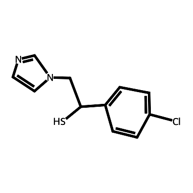 SC(Cn1ccnc1)c1ccc(Cl)cc1